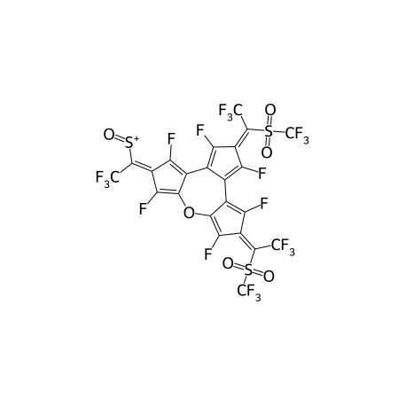 O=[S+]/C(=c1/c(F)c2oc3c(F)/c(=C(/C(F)(F)F)S(=O)(=O)C(F)(F)F)c(F)c3c3c(F)/c(=C(/C(F)(F)F)S(=O)(=O)C(F)(F)F)c(F)c3c2c1F)C(F)(F)F